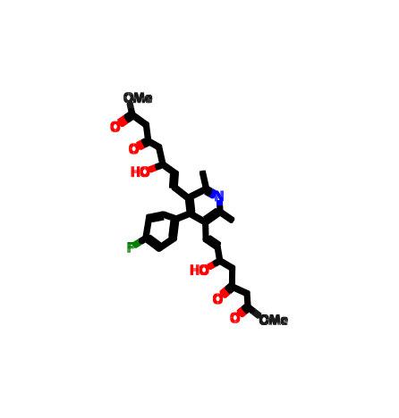 COC(=O)CC(=O)CC(O)/C=C/c1c(C)nc(C)c(/C=C/C(O)CC(=O)CC(=O)OC)c1-c1ccc(F)cc1